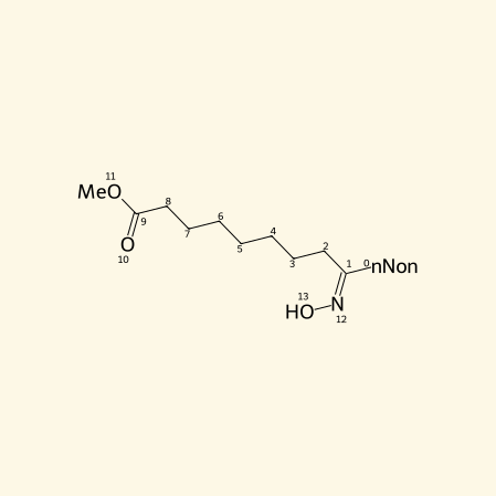 CCCCCCCCCC(CCCCCCCC(=O)OC)=NO